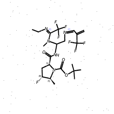 C=C(/C=N\CC(NC(=O)[C@@H]1C[C@@H](F)[C@H](C)N1C(=O)OC(C)(C)C)N(C)/C(=N\CC)C(F)(F)F)C(F)(F)F